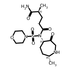 C[C@@H]1CC[C@H](N(C(=O)[CH]C[C@H](C)C(N)=O)S(=O)(=O)N2CCOCC2)C(=O)CN1